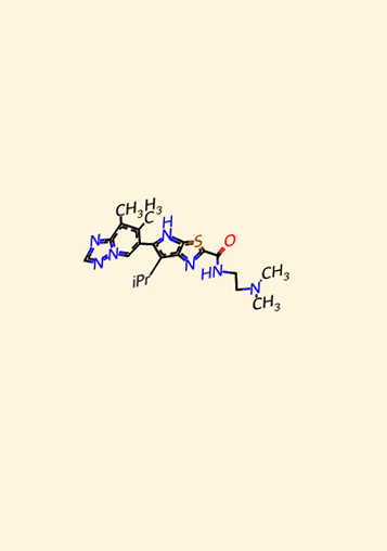 Cc1c(-c2[nH]c3sc(C(=O)NCCN(C)C)nc3c2C(C)C)cn2ncnc2c1C